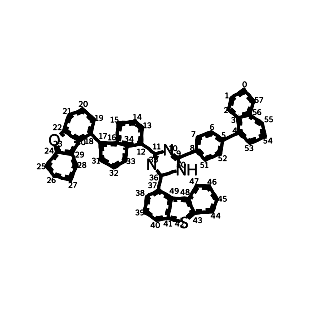 c1ccc2c(-c3ccc(C4=NC(c5cccc6c(-c7cccc8oc9ccccc9c78)cccc56)=NC(c5cccc6sc7ccccc7c56)N4)cc3)cccc2c1